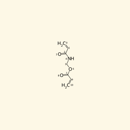 C=CC(=O)NCOC(=O)C=C